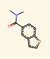 CN(C)C(=O)c1ccc2sccc2c1